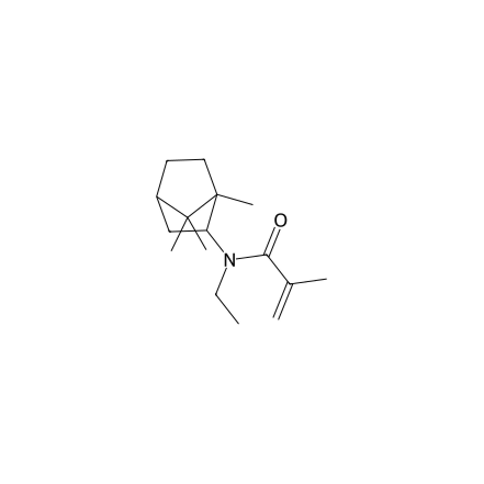 C=C(C)C(=O)N(CC)C1CC2CCC1(C)C2(C)C